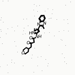 Cc1nc2ccccc2nc1-c1cc(NC(=O)CC(=O)CC2CCOCC2)[nH]n1